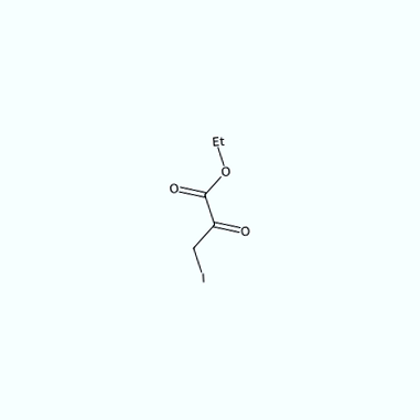 CCOC(=O)C(=O)CI